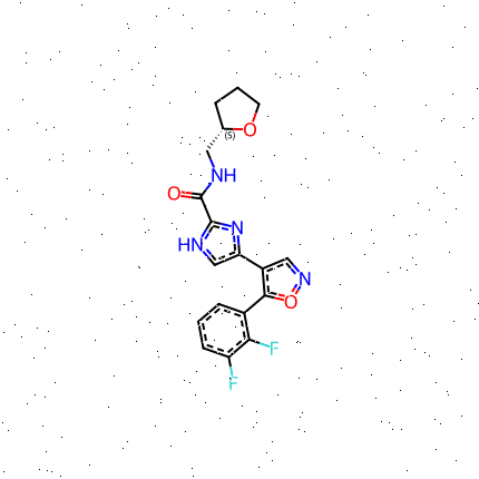 O=C(NC[C@@H]1CCCO1)c1nc(-c2cnoc2-c2cccc(F)c2F)c[nH]1